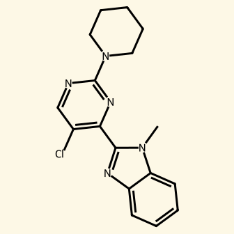 Cn1c(-c2nc(N3CCCCC3)ncc2Cl)nc2ccccc21